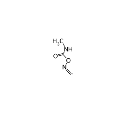 [C]=NOC(=O)NC